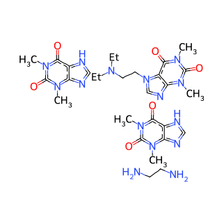 CCN(CC)CCn1cnc2c1c(=O)n(C)c(=O)n2C.Cn1c(=O)c2[nH]cnc2n(C)c1=O.Cn1c(=O)c2[nH]cnc2n(C)c1=O.NCCN